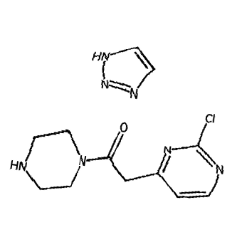 O=C(Cc1ccnc(Cl)n1)N1CCNCC1.c1c[nH]nn1